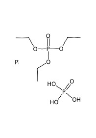 CCOP(=O)(OCC)OCC.O=P(O)(O)O.[P]